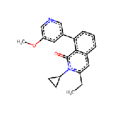 CCc1cc2cccc(-c3cncc(OC)c3)c2c(=O)n1C1CC1